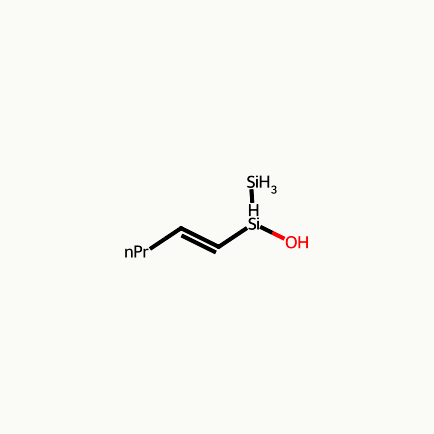 CCCC=C[SiH](O)[SiH3]